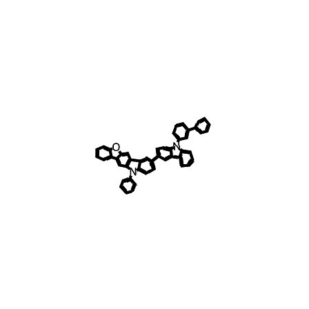 c1ccc(-c2cccc(-n3c4ccccc4c4cc(-c5ccc6c(c5)c5cc7oc8ccccc8c7cc5n6-c5ccccc5)ccc43)c2)cc1